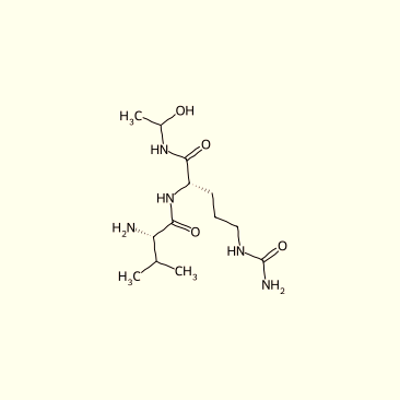 CC(O)NC(=O)[C@H](CCCNC(N)=O)NC(=O)[C@@H](N)C(C)C